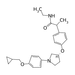 CCNC(=O)C(C)c1ccc(O[C@@H]2CCN(c3ccc(OCC4CC4)cc3)C2)cc1